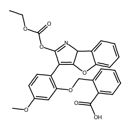 CCOC(=O)OC1=NC2C(=C1c1ccc(OC)cc1OCc1ccccc1C(=O)O)Oc1ccccc12